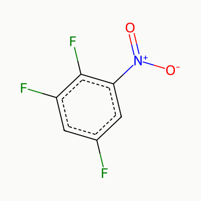 O=[N+]([O-])c1cc(F)cc(F)c1F